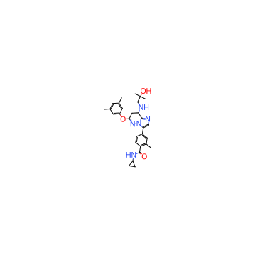 Cc1cc(C)cc(Oc2cc(NCC(C)(C)O)c3ncc(-c4ccc(C(=O)NC5CC5)c(C)c4)n3n2)c1